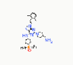 CCCP(=O)(CCC)c1ccc(Nc2nc(N3CCC(CN)CC3)nc3c2ncn3C=Cc2c(C)cccc2C)cc1